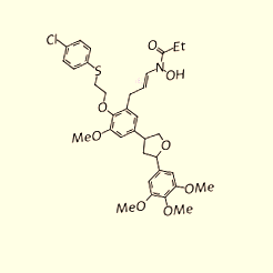 CCC(=O)N(O)/C=C/Cc1cc(C2COC(c3cc(OC)c(OC)c(OC)c3)C2)cc(OC)c1OCCSc1ccc(Cl)cc1